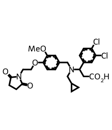 COc1cc(CN(CC2CC2)C(CC(=O)O)c2ccc(Cl)c(Cl)c2)ccc1OCCN1C(=O)CCC1=O